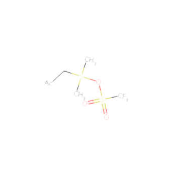 CC(=O)CS(C)(C)OS(=O)(=O)C(F)(F)F